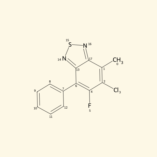 Cc1c(Cl)c(F)c(-c2ccccc2)c2nsnc12